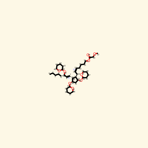 CCCCC[C@@H](/C=C/[C@@H]1[C@@H](C/C=C\CCCCOC(=O)COC)[C@@H](OC2CCCCO2)C[C@H]1OC1CCCCO1)OC1CCCCO1